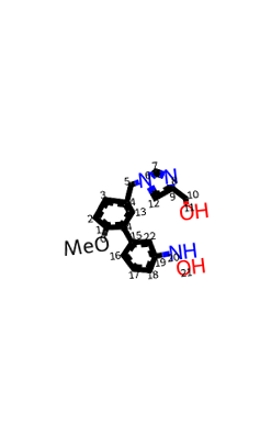 COc1ccc(Cn2cnc(CO)c2)cc1-c1cccc(NO)c1